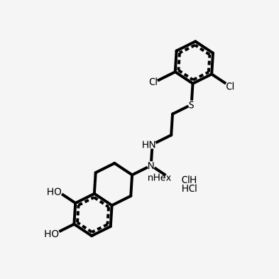 CCCCCCN(NCCSc1c(Cl)cccc1Cl)C1CCc2c(ccc(O)c2O)C1.Cl.Cl